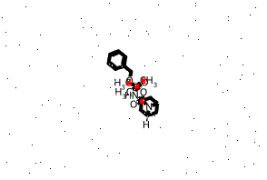 CC(C)(C)OC(=O)N1C2CC(NC(=O)OCc3ccccc3)C[C@@H]1C2